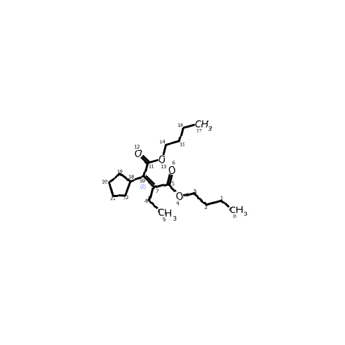 CCCCOC(=O)/C(CC)=C(\C(=O)OCCCC)C1CCCC1